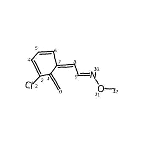 C=c1c(Cl)ccc/c1=C/C=N/OC